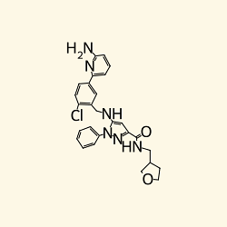 Nc1cccc(-c2ccc(Cl)c(CNc3cc(C(=O)NCC4CCOC4)nn3-c3ccccc3)c2)n1